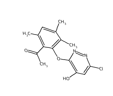 CC(=O)c1c(C)cc(C)c(C)c1Oc1nnc(Cl)cc1O